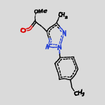 COC(=O)c1nn(-c2ccc(C)cc2)nc1C